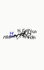 C=C(CCCCCCCCC)C(C)(CCCCCCNCCCC)C(=C)CCCCCCCCC